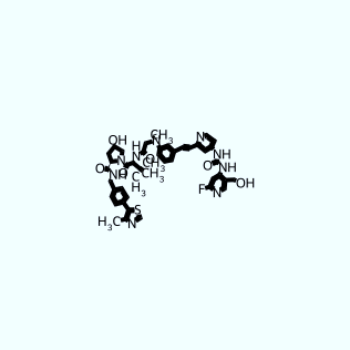 Cc1ncsc1-c1ccc(CNC(=O)[C@@H]2C[C@@H](O)CN2C(=O)[C@@H](NC(=O)CN(C)c2cccc(C#Cc3cc(NC(=O)Nc4cc(F)ncc4CO)ccn3)c2)C(C)(C)C)cc1